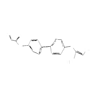 C=CC(=O)Oc1ccc(-c2ccc(O/C(C)=C\C)cc2)cc1